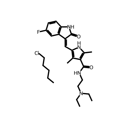 CCCCCCl.CCN(CC)CCNC(=O)c1c(C)[nH]c(C=C2C(=O)Nc3ccc(F)cc32)c1C